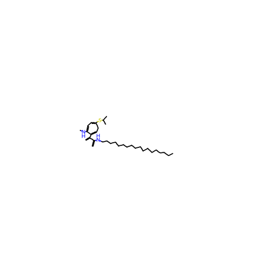 C=C(NCCCCCCCCCCCCCCCCCC)C(=C)C1=CCC(SC(C)C)=CC=C1NC